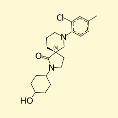 Cc1ccc(N2CCC[C@]3(CCN(C4CCC(O)CC4)C3=O)C2)c(Cl)c1